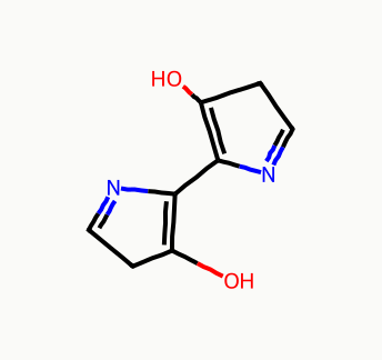 OC1=C(C2=C(O)CC=N2)N=CC1